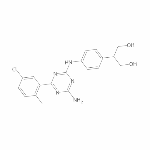 Cc1ccc(Cl)cc1-c1nc(N)nc(Nc2ccc(C(CO)CO)cc2)n1